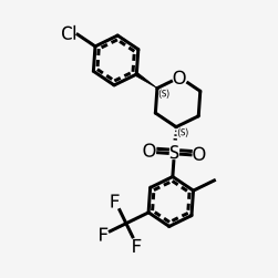 Cc1ccc(C(F)(F)F)cc1S(=O)(=O)[C@H]1CCO[C@H](c2ccc(Cl)cc2)C1